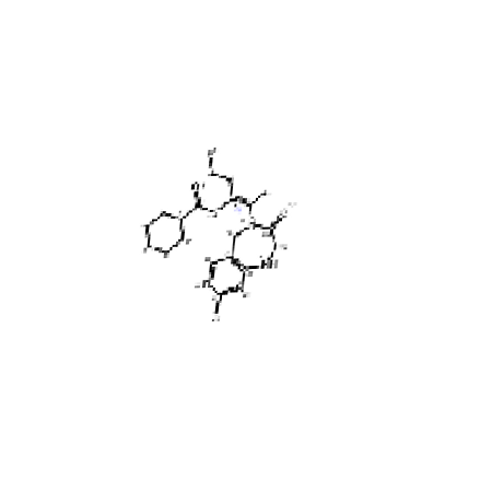 C/C(=C(\CCF)SC(=O)C1CCCCC1)N1Cc2cnc(C)nc2NCC1=O